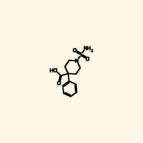 NS(=O)(=O)N1CCC(C(=O)O)(c2ccccc2)CC1